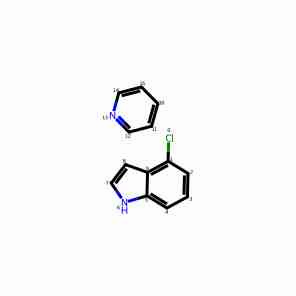 Clc1cccc2[nH]ccc12.c1ccncc1